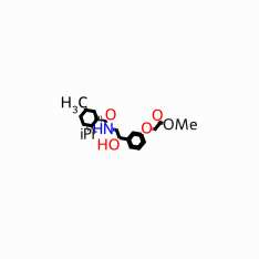 COC(=O)COc1cccc(C(O)CNC(=O)[C@@H]2CC(C)CC[C@H]2C(C)C)c1